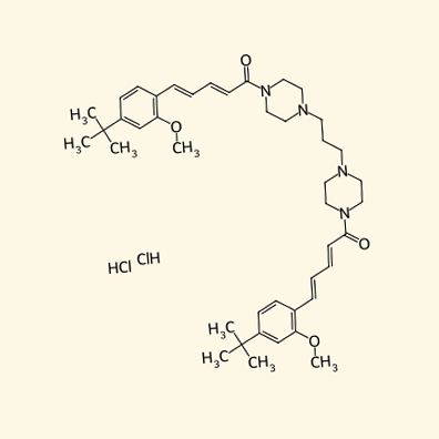 COc1cc(C(C)(C)C)ccc1C=CC=CC(=O)N1CCN(CCCN2CCN(C(=O)C=CC=Cc3ccc(C(C)(C)C)cc3OC)CC2)CC1.Cl.Cl